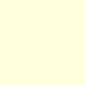 OC(CCc1cccc2ccc3cc4ccccc4cc3c12)C(O)(O)O